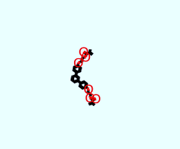 C=C(C)C(=O)OCCOc1ccc(-c2cccc(-c3ccc(OCCOC(=O)C(=C)C)cc3)c2)cc1